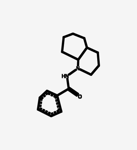 O=C(NN1CCCC2CCCCC21)c1ccccc1